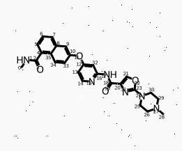 CNC(=O)c1cccc2cc(Oc3ccnc(NC(=O)c4coc(N5CCN(C)CC5)n4)c3)ccc12